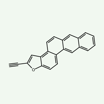 C#Cc1cc2c(ccc3c4cc5ccccc5cc4ccc23)o1